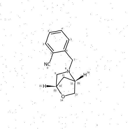 N#Cc1ccccc1CN1C[C@@H]2C[C@H]1CO2